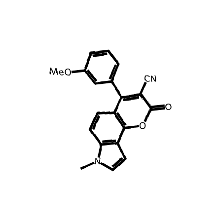 COc1cccc(-c2c(C#N)c(=O)oc3c2ccc2c3ccn2C)c1